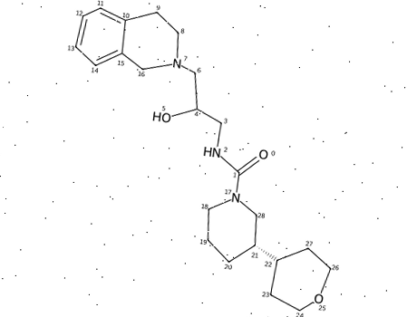 O=C(NCC(O)CN1CCc2ccccc2C1)N1CCC[C@@H](C2CCOCC2)C1